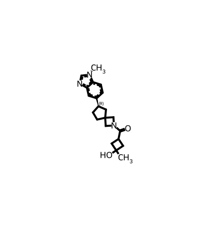 Cn1cnc2cc([C@@H]3CCC4(C3)CN(C(=O)C3CC(C)(O)C3)C4)ccc21